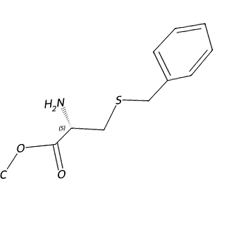 COC(=O)[C@H](N)CSCc1ccccc1